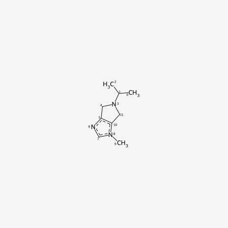 CC(C)N1Cc2ncn(C)c2C1